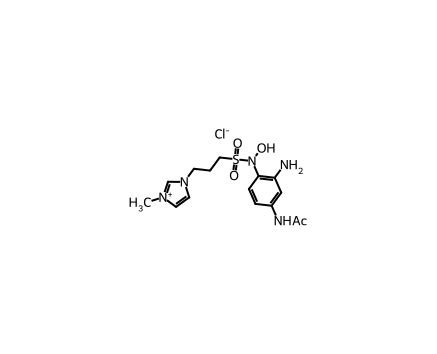 CC(=O)Nc1ccc(N(O)S(=O)(=O)CCCn2cc[n+](C)c2)c(N)c1.[Cl-]